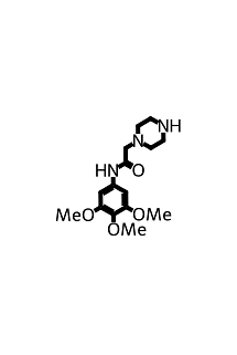 COc1cc(NC(=O)CN2CCNCC2)cc(OC)c1OC